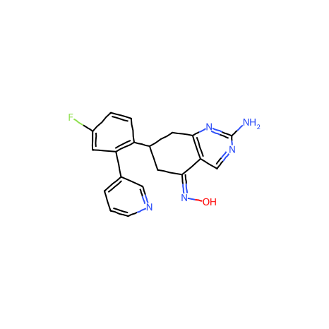 Nc1ncc2c(n1)CC(c1ccc(F)cc1-c1cccnc1)C/C2=N/O